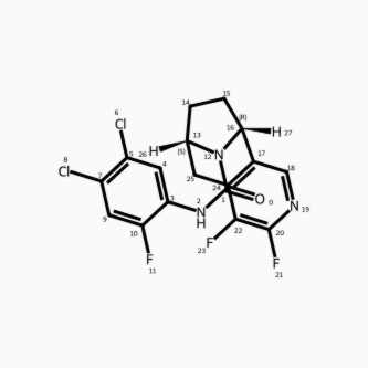 O=C(Nc1cc(Cl)c(Cl)cc1F)N1[C@H]2CC[C@@H]1c1cnc(F)c(F)c1C2